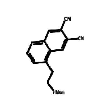 CCCCCCCCCCCc1cccc2cc(C#N)c(C#N)cc12